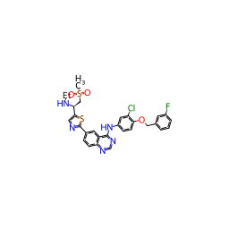 CCN[C@@H](CS(C)(=O)=O)c1cnc(-c2ccc3ncnc(Nc4ccc(OCc5cccc(F)c5)c(Cl)c4)c3c2)s1